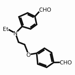 CCN(CCOc1ccc(C=O)cc1)c1ccc(C=O)cc1